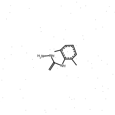 C=C(NN)Nc1c(C)cccc1C